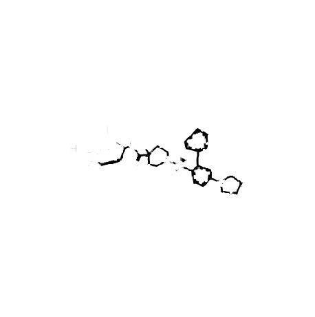 C[C@H](/C=C\S(C)(=O)=O)NC(=O)C1(F)CCN(S(=O)(=O)c2ccc(N3CCCC3)cc2-c2ccccc2)CC1